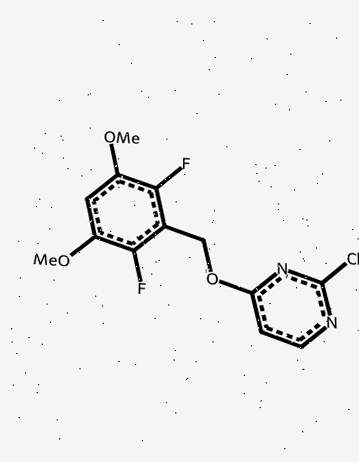 COc1cc(OC)c(F)c(COc2ccnc(Cl)n2)c1F